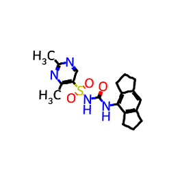 Cc1ncc(S(=O)(=O)NC(=O)Nc2c3c(cc4c2CCC4)CCC3)c(C)n1